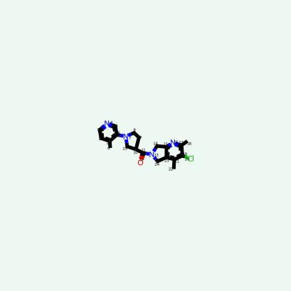 Cc1ccncc1N1CCC(C(=O)N2Cc3nc(C)c(Cl)c(C)c3C2)C1